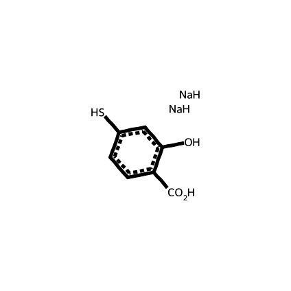 O=C(O)c1ccc(S)cc1O.[NaH].[NaH]